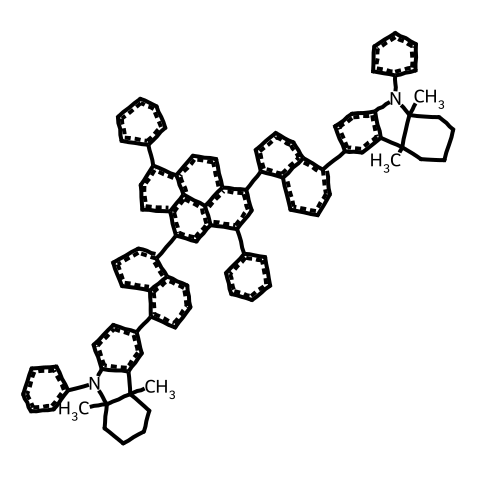 CC12CCCCC1(C)N(c1ccccc1)c1ccc(-c3cccc4c(-c5cc6c(-c7ccccc7)cc(-c7cccc8c(-c9ccc%10c(c9)C9(C)CCCCC9(C)N%10c9ccccc9)cccc78)c7ccc8c(-c9ccccc9)ccc5c8c67)cccc34)cc12